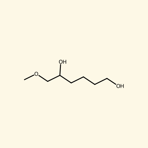 COCC(O)CCCCO